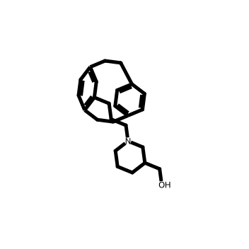 OCC1CCCN(CCCc2cc3ccc2CCc2ccc(cc2)CC3)C1